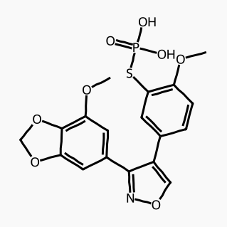 COc1ccc(-c2conc2-c2cc(OC)c3c(c2)OCO3)cc1SP(=O)(O)O